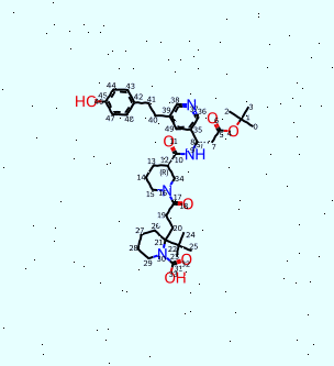 CC(C)(C)OC(=O)C[C@H](NC(=O)[C@@H]1CCCN(C(=O)CCC2(C(C)(C)C)CCCCN2C(=O)O)C1)c1cncc(CCc2ccc(O)cc2)c1